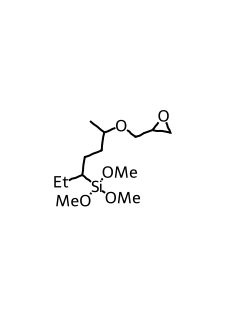 CCC(CCC(C)OCC1CO1)[Si](OC)(OC)OC